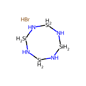 Br.N1[SiH2]N[SiH2]N[SiH2]N[SiH2]1